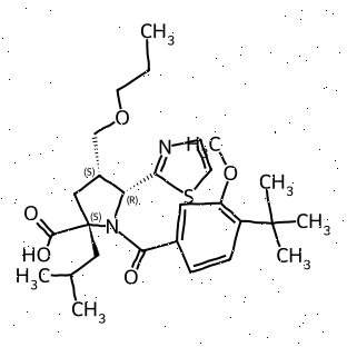 CCCOC[C@H]1C[C@@](CC(C)C)(C(=O)O)N(C(=O)c2ccc(C(C)(C)C)c(OC)c2)[C@H]1c1nccs1